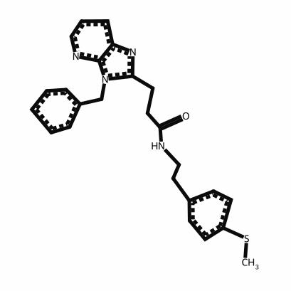 CSc1ccc(CCNC(=O)CCc2nc3cccnc3n2Cc2ccccc2)cc1